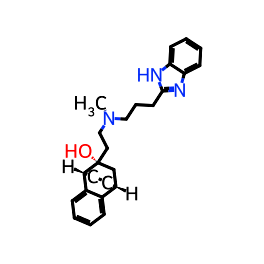 CN(CCCc1nc2ccccc2[nH]1)CC[C@@]1(O)C[C@H]2CC[C@@H]1c1ccccc12